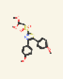 COc1ccc(-c2nc(S(=O)(=O)CC(OC)OC)sc2-c2ccc(OC)cc2)cc1